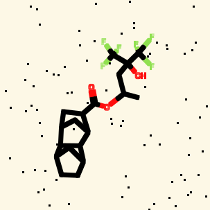 CC(CC(O)(C(F)(F)F)C(F)(F)F)OC(=O)C1CC2CC1C1C3CCC(C3)C21